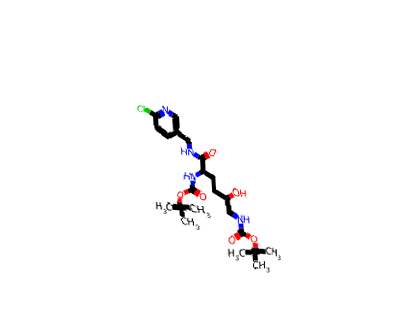 CC(C)(C)OC(=O)NCC(O)CCC(NC(=O)OC(C)(C)C)C(=O)NCc1ccc(Cl)nc1